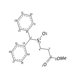 COC(=O)CC[S+]([O-])C(c1ccccc1)c1ccccc1